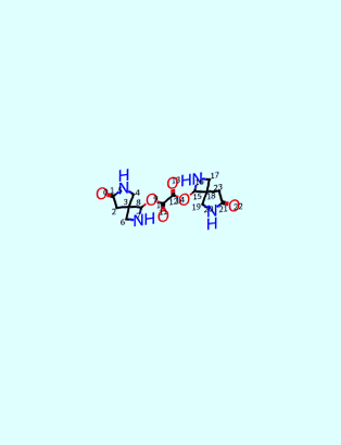 O=C1CC2(CN1)CNC2OC(=O)C(=O)OC1NCC12CNC(=O)C2